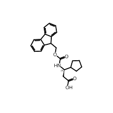 O=C(O)C[C@@H](NC(=O)OCC1c2ccccc2-c2ccccc21)C1CCCC1